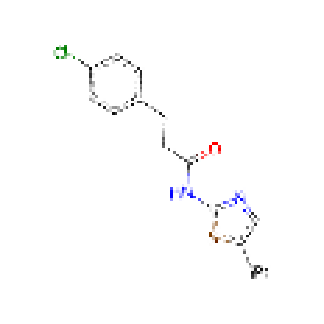 CC(C)c1cnc(NC(=O)CCc2ccc(Cl)cc2)s1